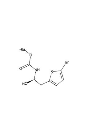 CC(C)(C)OC(=O)N[C@H](C#N)Cc1ccc(Br)s1